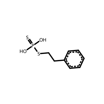 OP(O)(=S)SCCc1ccccc1